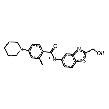 Cc1cc(N2CCCCC2)ccc1C(=O)Nc1ccc2sc(CO)nc2c1